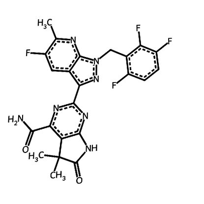 Cc1nc2c(cc1F)c(-c1nc3c(c(C(N)=O)n1)C(C)(C)C(=O)N3)nn2Cc1c(F)ccc(F)c1F